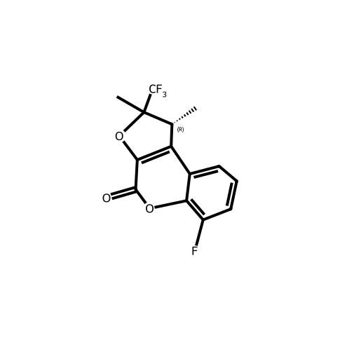 C[C@@H]1c2c(c(=O)oc3c(F)cccc23)OC1(C)C(F)(F)F